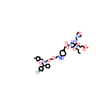 CCCC(=O)N(CCCC(=O)OC)C1(C(=O)NCCN2CCOCC2)CCN(C(=O)OCC2C3CCc4nnn(CCOCCOCCN(Cc5ccc(C)cc5)C(=O)C(c5ccc(Cl)cc5)C5CCCCC5)c4CCC32)CC1